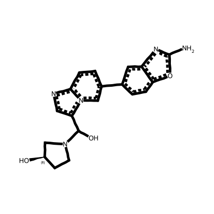 Nc1nc2cc(-c3ccc4ncc(C(O)N5CC[C@@H](O)C5)n4c3)ccc2o1